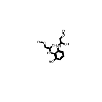 CCOCC(O)Nc1cccc(O)c1NC(O)COCC